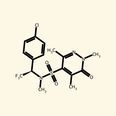 Cc1nn(C)c(=O)c(C)c1S(=O)(=O)N(C)[C@H](c1ccc(Cl)cc1)C(F)(F)F